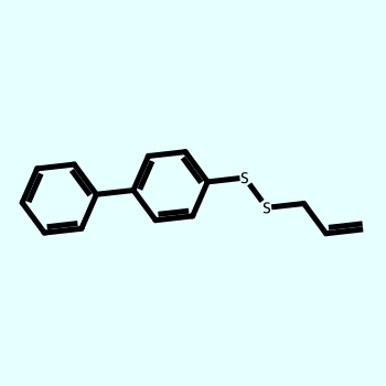 C=CCSSc1ccc(-c2ccccc2)cc1